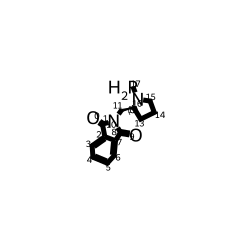 O=C1c2ccccc2C(=O)N1C[C@@H]1CCCN1P